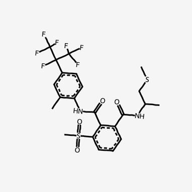 CSCC(C)NC(=O)c1cccc(S(C)(=O)=O)c1C(=O)Nc1ccc(C(F)(C(F)(F)F)C(F)(F)F)cc1C